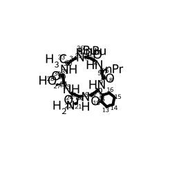 CCCC[C@H]1C(=O)N[C@@H](CCC)C(=O)N[C@@H](C2CCCCC2)C(=O)N[C@@H](CN)C(=O)N[C@@H](CO)C(=O)N[C@H](C)CN1CCCC